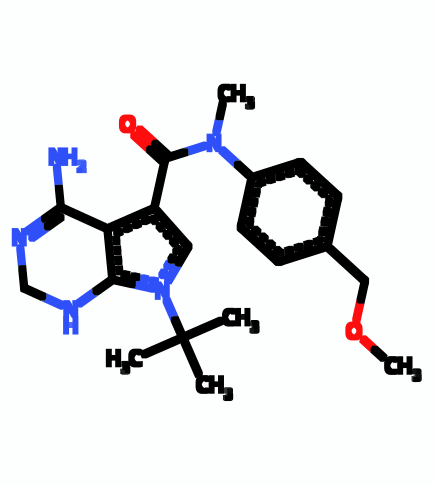 COCc1ccc(N(C)C(=O)c2cn(C(C)(C)C)c3c2C(N)=NCN3)cc1